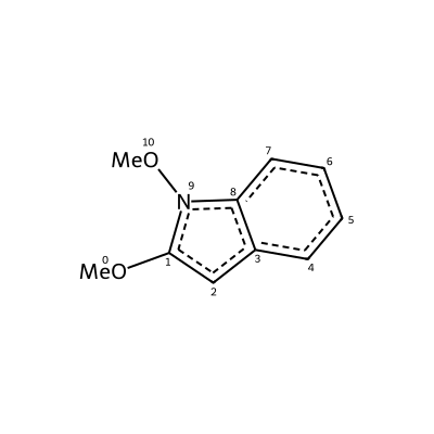 COc1cc2ccccc2n1OC